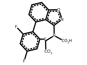 O=C(O)N(CC(Cl)(Cl)Cl)c1noc2cccc(-c3c(F)cc(F)cc3F)c12